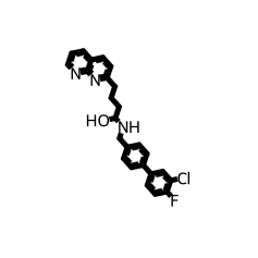 OC(CCCc1ccc2cccnc2n1)NCc1ccc(-c2ccc(F)c(Cl)c2)cc1